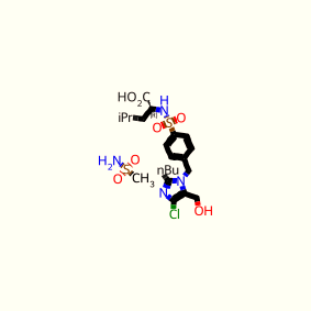 CCCCc1nc(Cl)c(CO)n1Cc1ccc(S(=O)(=O)N[C@H](CC(C)C)C(=O)O)cc1.CS(N)(=O)=O